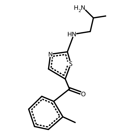 Cc1ccccc1C(=O)c1cnc(NCC(C)N)s1